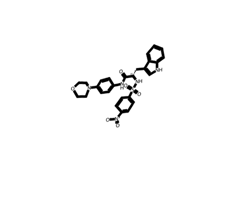 O=C(Nc1ccc(N2CCOCC2)cc1)[C@H](Cc1c[nH]c2ccccc12)NS(=O)(=O)c1ccc([N+](=O)[O-])cc1